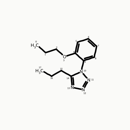 CCCOc1ccccc1-n1nnnc1CCC